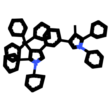 Cc1c(-c2cccc(-c3cn(-c4ccccc4)c(-c4ccccc4)c3[Si](c3ccccc3)(c3ccccc3)c3ccccc3)c2)cn(-c2ccccc2)c1-c1ccccc1